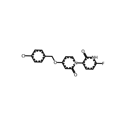 O=c1[nH]c(F)ccc1-n1ccc(OCc2ccc(Cl)cc2)cc1=O